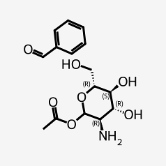 CC(=O)OC1O[C@H](CO)[C@@H](O)[C@H](O)[C@H]1N.O=Cc1ccccc1